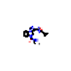 CNC(=O)N1Cc2c(-c3noc(C4CC4)n3)ncn2-c2ccccc21